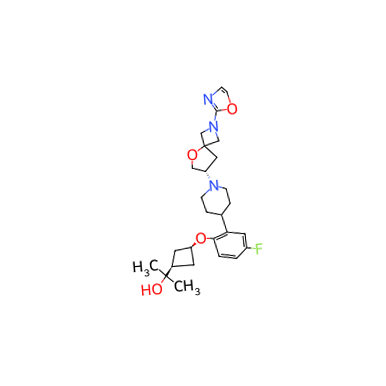 CC(C)(O)[C@H]1C[C@@H](Oc2ccc(F)cc2C2CCN([C@@H]3COC4(C3)CN(c3ncco3)C4)CC2)C1